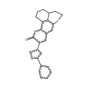 O=c1oc2c3c4c(cc2cc1-n1cc(-c2ccccc2)nn1)CCCN4CCC3